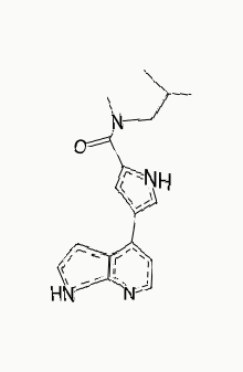 CC(C)CN(C)C(=O)c1cc(-c2ccnc3[nH]ccc23)c[nH]1